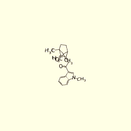 Cn1cc(C(=O)/C=C2\C(=O)C3(C)CCC2C3(C)C)c2ccccc21